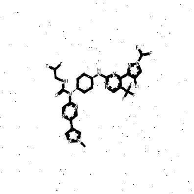 Cn1cc(-c2cnc(N(C(=O)NCC(F)F)[C@H]3CC[C@H](Nc4ncc(C(F)(F)F)c(-c5nn(C(F)F)cc5Cl)n4)CC3)cn2)cn1